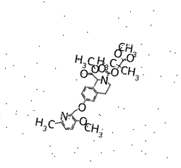 COC(=O)C1c2ccc(OCc3nc(C)ccc3OC)cc2CCN1C(=O)OC(C)(C)C(=O)OC